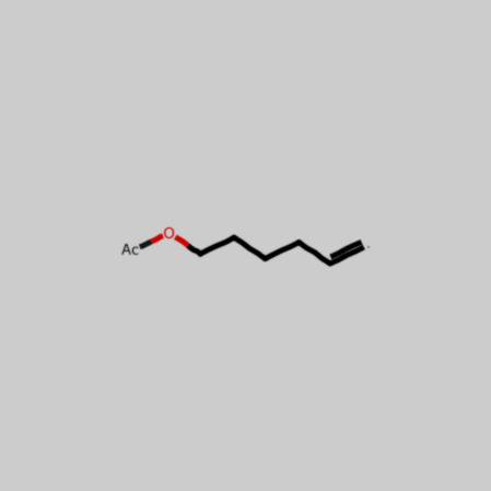 [CH]=CCCCCOC(C)=O